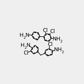 Nc1ccc(-c2ccc(N)c(Cl)c2Cl)cc1.Nc1ccc(Cc2ccc(N)c(Cl)c2)cc1Cl